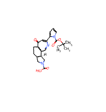 CC(C)(C)OC(=O)n1cccc1-c1cc(=O)c2c(cn1)[C@H]1CN(C(=O)O)CC1CC2